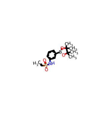 C=CS(=O)(=O)Nc1cccc(B2OC(C)(C)C(C)(C)O2)c1